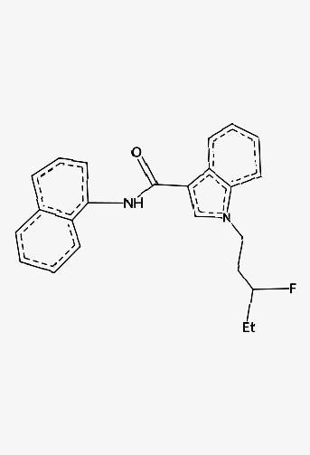 CCC(F)CCn1cc(C(=O)Nc2cccc3ccccc23)c2ccccc21